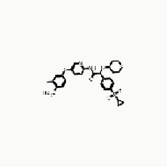 Cc1cc(Oc2ccc(NC(=O)C(OC3CCOCC3)c3ccc(S(=O)(=O)C4CC4)cc3)nc2)ccc1C(=O)O